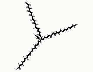 CCCCCCCCCCCCCCCCCC[N+](CCC)(CCCCCCCCCCCCCCCCCC)CCCCCCCCCCCCCCCCCC